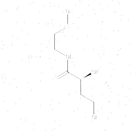 NCC[C@H](N)C(=O)N[C@@H](CSN=O)C(=O)O